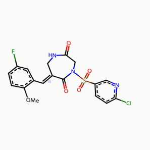 COc1ccc(F)cc1/C=C1\CNC(=O)CN(S(=O)(=O)c2ccc(Cl)nc2)C1=O